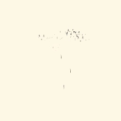 COC1=C(OC)C(OC)(OC)[C@H](C)[C@@H](CC=C(C)CCC=C(C)CCC=C(C)C)C1=O